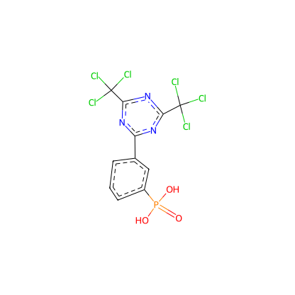 O=P(O)(O)c1cccc(-c2nc(C(Cl)(Cl)Cl)nc(C(Cl)(Cl)Cl)n2)c1